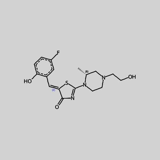 C[C@@H]1CN(CCO)CCN1C1=NC(=O)/C(=C/c2cc(F)ccc2O)S1